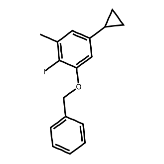 Cc1cc(C2CC2)cc(OCc2ccccc2)c1I